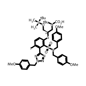 COc1ccc(CN(Cc2ccc(OC)cc2)S(=O)(=O)c2c(S[C@@H](CO[Si](C)(C)C(C)(C)C)CN(C(=O)O)C(C)(C)C)ccc(I)c2-c2nnn(Cc3ccc(OC)cc3)n2)cc1